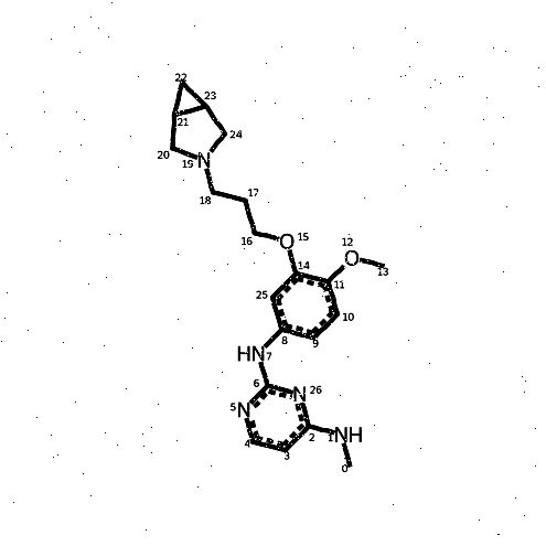 CNc1ccnc(Nc2ccc(OC)c(OCCCN3CC4CC4C3)c2)n1